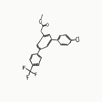 COC(=O)Cc1cc(-c2ccc(Cl)cc2)cc(-c2ccc(C(F)(F)F)cc2)c1